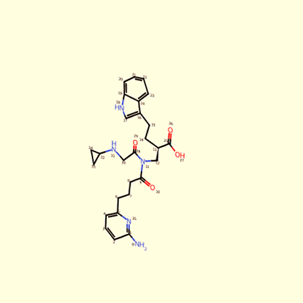 Nc1cccc(CCCC(=O)N(C[C@@H](CCc2c[nH]c3ccccc23)C(=O)O)C(=O)CNC2CC2)n1